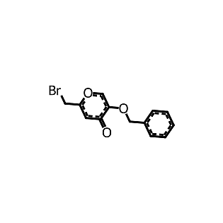 O=c1cc(CBr)occ1OCc1ccccc1